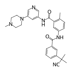 Cc1ccc(NC(=O)c2cccc(C(C)(C)C#N)c2)cc1C(=O)Nc1cncc(N2CCN(C)CC2)c1